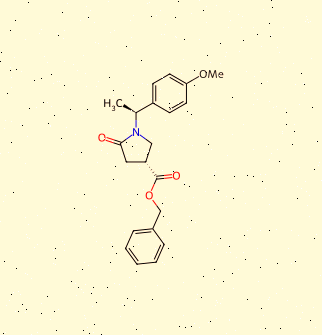 COc1ccc([C@H](C)N2C[C@H](C(=O)OCc3ccccc3)CC2=O)cc1